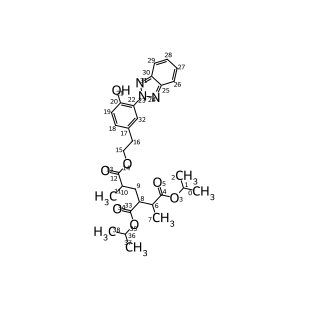 CC(C)OC(=O)C(C)C(CC(C)C(=O)OCCc1ccc(O)c(-n2nc3ccccc3n2)c1)C(=O)OC(C)C